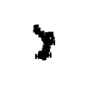 COc1ccn(C2CN(C(=O)[C@@H]3CC[C@@H]4CCC[C@H](NC(=O)c5cc6cc(C(F)P(=O)(O)O)ccc6s5)C(=O)N43)C2)n1